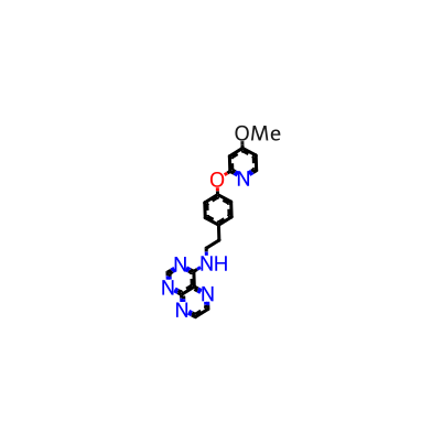 COc1ccnc(Oc2ccc(CCNc3ncnc4nccnc34)cc2)c1